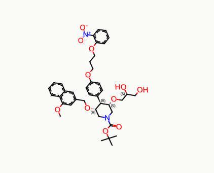 COc1cc(CO[C@H]2CN(C(=O)OC(C)(C)C)C[C@@H](OC[C@@H](O)CO)[C@@H]2c2ccc(OCCCOc3ccccc3[N+](=O)[O-])cc2)cc2ccccc12